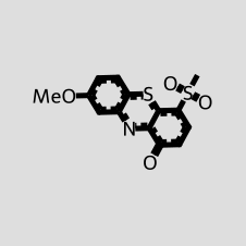 COc1ccc2sc3c(S(C)(=O)=O)ccc(=O)c-3nc2c1